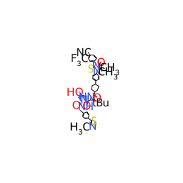 Cc1ncsc1-c1ccc(CNC(=O)[C@@H]2C[C@@H](O)CN2C(=O)[C@@H](NC(=O)C2CCC(c3ccc(N4C(=S)N(c5ccc(C#N)c(C(F)(F)F)c5)C(=O)C4(C)C)cc3)CC2)C(C)(C)C)cc1